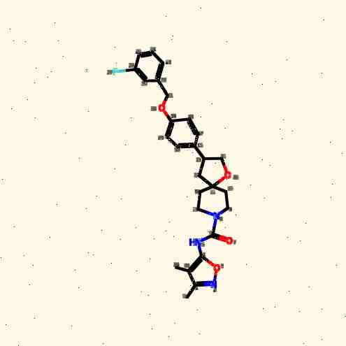 Cc1noc(NC(=O)N2CCC3(CC2)CC(c2ccc(OCc4cccc(F)c4)cc2)CO3)c1C